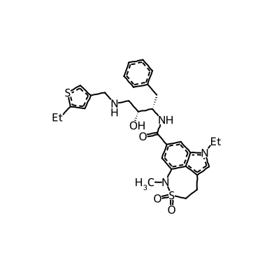 CCc1cc(CNC[C@@H](O)[C@H](Cc2ccccc2)NC(=O)c2cc3c4c(cn(CC)c4c2)CCS(=O)(=O)N3C)cs1